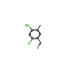 Cc1cc(C=S)c(F)cc1Br